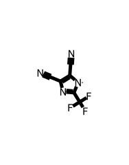 N#CC1=C(C#N)N=C(C(F)(F)F)[N]1